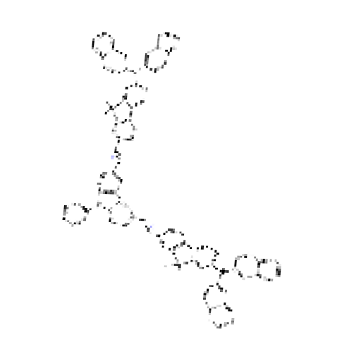 CC1(C)c2cc(/C=C/c3ccc4c(c3)c3cc(/C=C/c5ccc6c(c5)C(C)(C)c5cc(N(c7ccc8ccccc8c7)c7ccc8ccccc8c7)ccc5-6)ccc3p4-c3ccccc3)ccc2-c2ccc(N(c3ccc4ccccc4c3)c3ccc4ccccc4c3)cc21